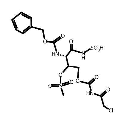 CS(=O)(=O)O[C@H](COC(=O)NC(=O)CCl)[C@H](NC(=O)OCc1ccccc1)C(=O)NS(=O)(=O)O